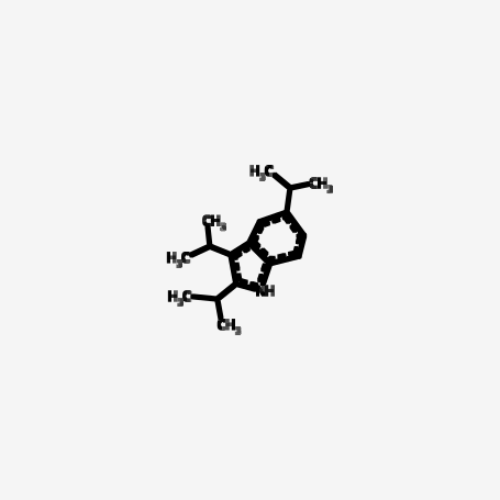 CC(C)c1ccc2[nH]c(C(C)C)c(C(C)C)c2c1